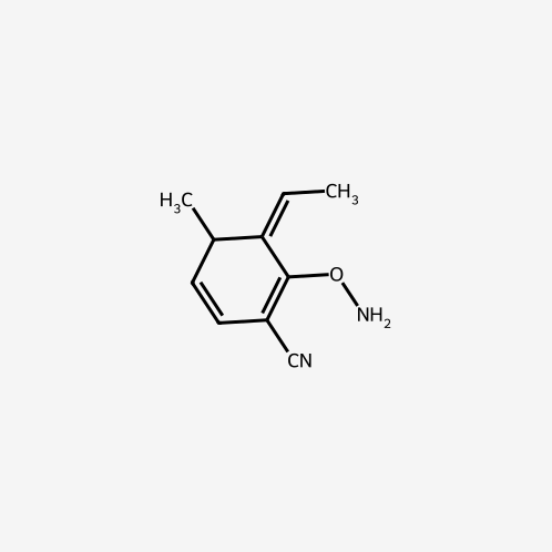 CC=C1C(ON)=C(C#N)C=CC1C